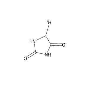 [2H]C1NC(=O)NC1=O